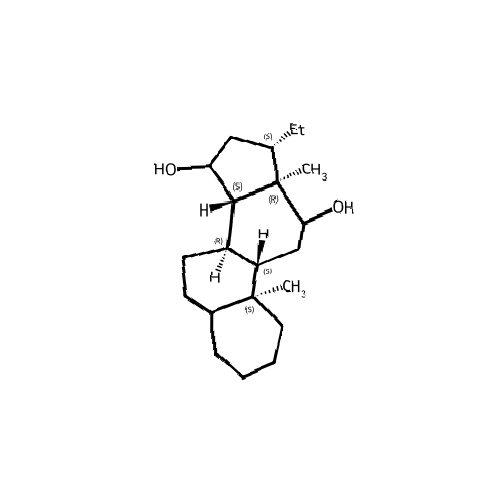 CC[C@H]1CC(O)[C@H]2[C@@H]3CCC4CCCC[C@]4(C)[C@H]3CC(O)[C@]12C